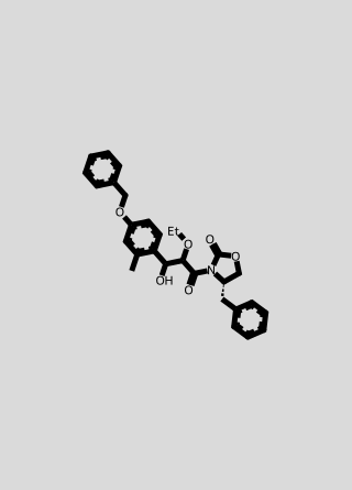 CCOC(C(=O)N1C(=O)OC[C@@H]1Cc1ccccc1)C(O)c1ccc(OCc2ccccc2)cc1C